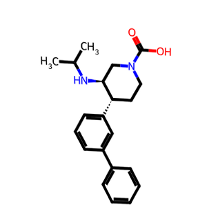 CC(C)N[C@H]1CN(C(=O)O)CC[C@@H]1c1cccc(-c2ccccc2)c1